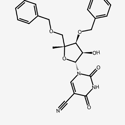 C[C@]1(COCc2ccccc2)O[C@@H](n2cc(C#N)c(=O)[nH]c2=O)[C@H](O)[C@@H]1OCc1ccccc1